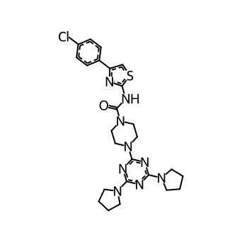 O=C(Nc1nc(-c2ccc(Cl)cc2)cs1)N1CCN(c2nc(N3CCCC3)nc(N3CCCC3)n2)CC1